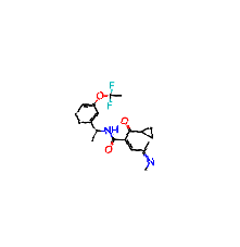 C/N=C(/C)C=C(C(=O)NC(C)C1=CC(OC(C)(F)F)=CCC1)C(=O)C1CC1